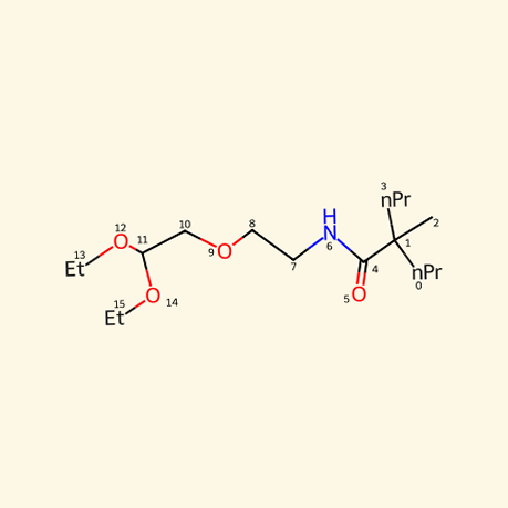 CCCC(C)(CCC)C(=O)NCCOCC(OCC)OCC